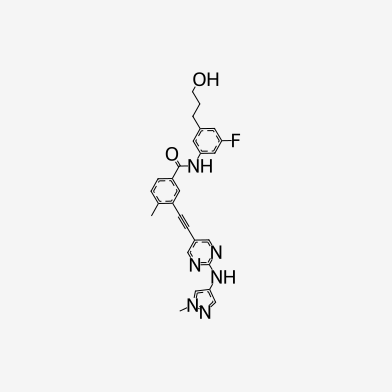 Cc1ccc(C(=O)Nc2cc(F)cc(CCCO)c2)cc1C#Cc1cnc(Nc2cnn(C)c2)nc1